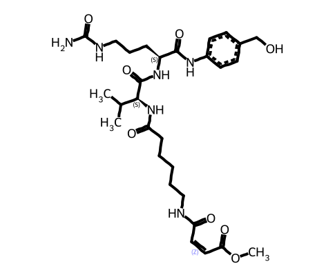 COC(=O)/C=C\C(=O)NCCCCCC(=O)N[C@H](C(=O)N[C@@H](CCCNC(N)=O)C(=O)Nc1ccc(CO)cc1)C(C)C